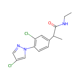 CCNC(=O)C(C)c1ccc(-n2cc(Cl)cn2)c(Cl)c1